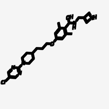 Cc1cc(OCCCC2CCN(c3ncc(Cl)cn3)CC2)cc(C)c1C(O)NCC1CNC1